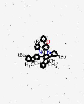 CC(C)(C)c1ccc(N2B3c4cc5c(cc4-n4c6ccc(C(C)(C)C)cc6c6c7c(c(c3c64)-c3cc4c(cc32)-c2cc(C(C)(C)C)ccc2C4(C)C)-c2ccccc2C7(C)C)oc2ccccc25)cc1